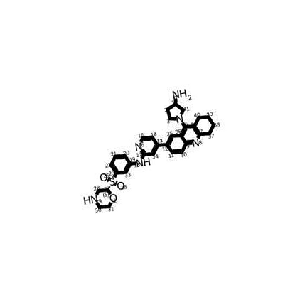 NC1CCN(c2c3c(nc4ccc(-c5ccnc(Nc6cccc(S(=O)(=O)[C@H]7CNCCO7)c6)c5)cc24)CCCC3)C1